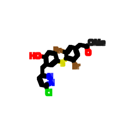 COC(=O)Cc1cc(Br)c(Sc2ccc(O)c(Cc3ccc(Cl)nn3)c2)c(Br)c1